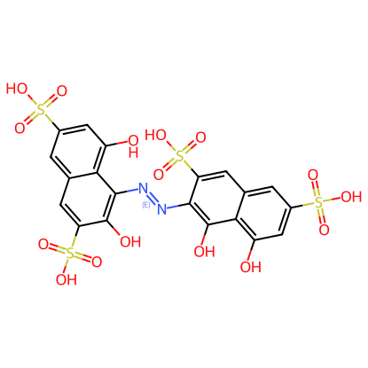 O=S(=O)(O)c1cc(O)c2c(O)c(/N=N/c3c(O)c(S(=O)(=O)O)cc4cc(S(=O)(=O)O)cc(O)c34)c(S(=O)(=O)O)cc2c1